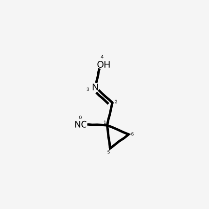 N#CC1(/C=N/O)CC1